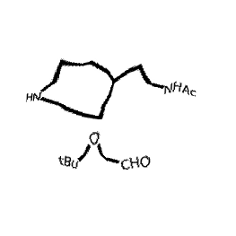 CC(=O)NCC1CCNCC1.CC(C)(C)OC=O